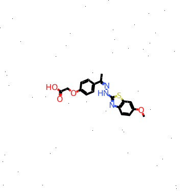 COc1ccc2nc(NN=C(C)c3ccc(OCC(=O)O)cc3)sc2c1